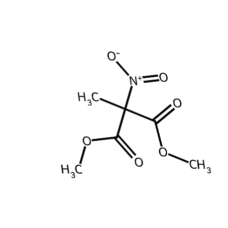 COC(=O)C(C)(C(=O)OC)[N+](=O)[O-]